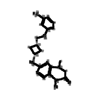 CCN1C(=O)CN(C)c2nc(N[C@H]3C[C@@H](COc4cccc(C(F)(F)F)c4)C3)ncc21